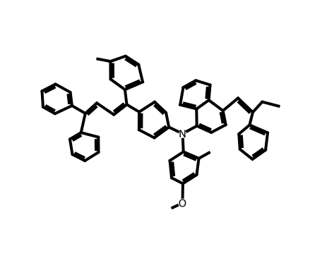 CC/C(=C/c1ccc(N(c2ccc(/C(=C/C=C(c3ccccc3)c3ccccc3)c3cccc(C)c3)cc2)c2ccc(OC)cc2C)c2ccccc12)c1ccccc1